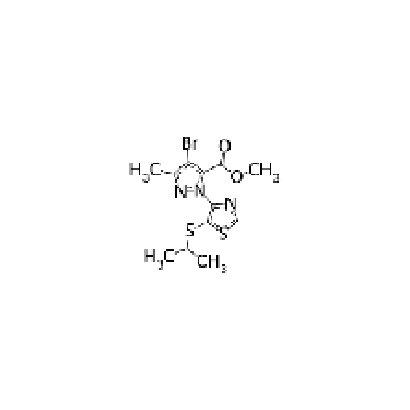 COC(=O)c1c(Br)c(C)nn1-c1ncsc1SC(C)C